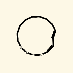 C1=C\OOSSCCCCCCCC/C=C/1